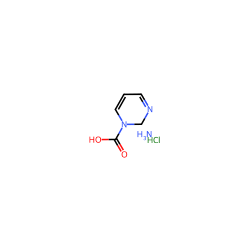 Cl.N.O=C(O)N1C=CC=NC1